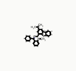 C=Nc1ccccc1/C(=N\Cc1cc(C(C)C)cc2c1sc1ccccc12)C1=CCCC=C1